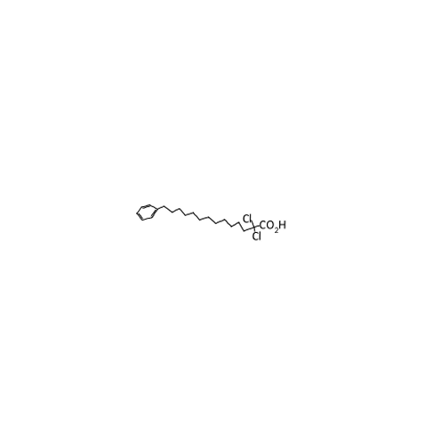 O=C(O)C(Cl)(Cl)CCCCCCCCCCCCc1ccccc1